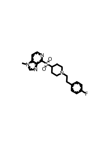 Cn1cnc2c(S(=O)(=O)C3CCN(CCc4ccc(F)cc4)CC3)nccc21